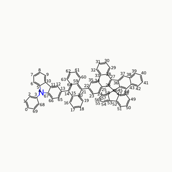 c1ccc(-n2c3ccccc3c3cc(-c4c5ccccc5c(-c5ccc6c7c(c8ccccc8c6c5)-c5cc6ccccc6cc5C75c6ccccc6-c6ccccc65)c5ccccc45)ccc32)cc1